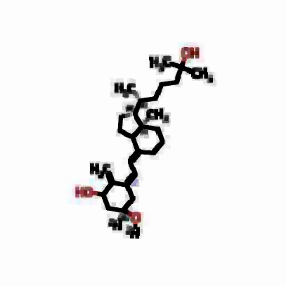 [2H]O[C@]1([2H])C/C(=C/C=C2CCC[C@@]3(C)C2CC[C@@H]3[C@H](C)CCCC(C)(C)O)C(=C)C(O)C1